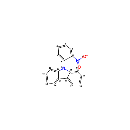 O=[N+]([O-])c1ccccc1-n1c2ccccc2c2ccccc21